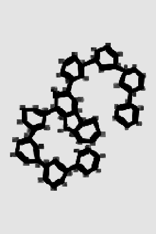 c1ccc(-c2cccc(-c3cccc(-c4cccc(-c5nc(-c6cccc(-c7cccc(-c8cccc(-c9ccccc9)c8)c7)c6)c6sc7ccccc7c6n5)c4)c3)c2)cc1